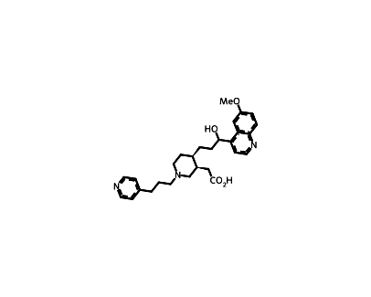 COc1ccc2nccc(C(O)CC[C@@H]3CCN(CCCc4ccncc4)C[C@@H]3CC(=O)O)c2c1